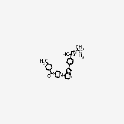 CC1CCC(C(=O)N2CCN(c3ccnn4cc(-c5ccc(C6(O)CN(C(C)C)C6)cc5)cc34)CC2)CC1